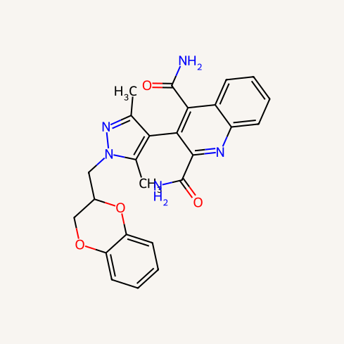 Cc1nn(CC2COc3ccccc3O2)c(C)c1-c1c(C(N)=O)nc2ccccc2c1C(N)=O